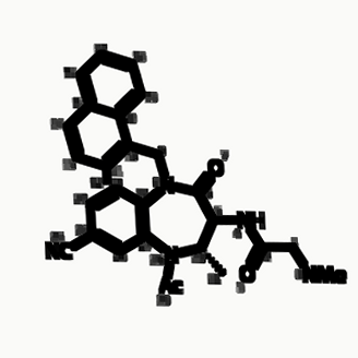 CNCC(=O)NC1C(=O)N(Cc2c(C)ccc3ccccc23)c2ccc(C#N)cc2N(C(C)=O)[C@H]1C